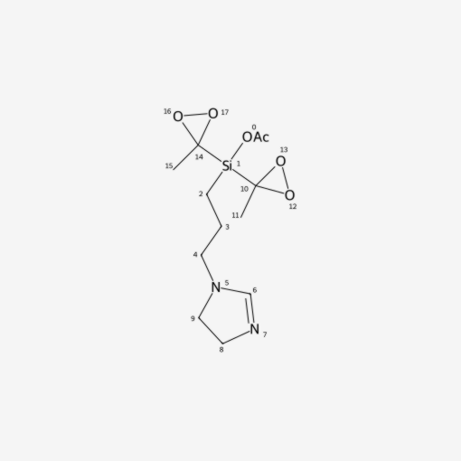 CC(=O)O[Si](CCCN1C=NCC1)(C1(C)OO1)C1(C)OO1